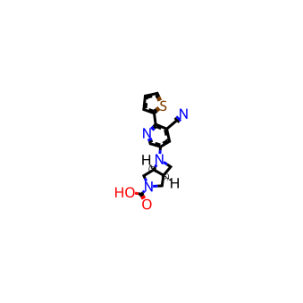 N#Cc1cc(N2C[C@H]3CN(C(=O)O)C[C@H]32)cnc1-c1cccs1